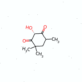 CC1CC(C)(C)C(=O)[C@H](O)C1=O